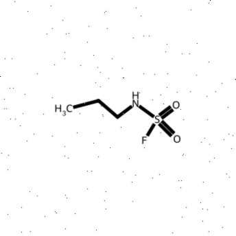 CCCNS(=O)(=O)F